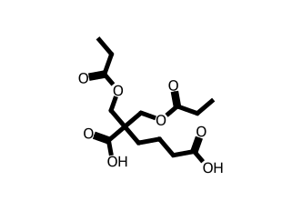 CCC(=O)OCC(CCCC(=O)O)(COC(=O)CC)C(=O)O